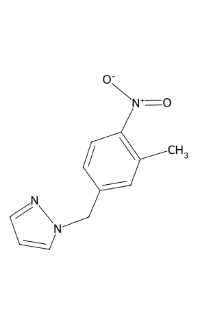 Cc1cc(Cn2cccn2)ccc1[N+](=O)[O-]